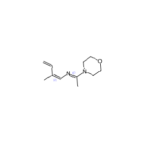 C=C/C(C)=C\N=C(/C)N1CCOCC1